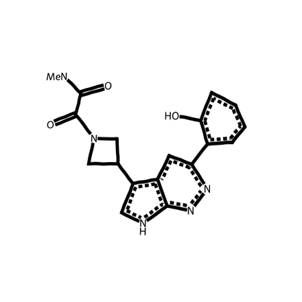 CNC(=O)C(=O)N1CC(c2c[nH]c3nnc(-c4ccccc4O)cc23)C1